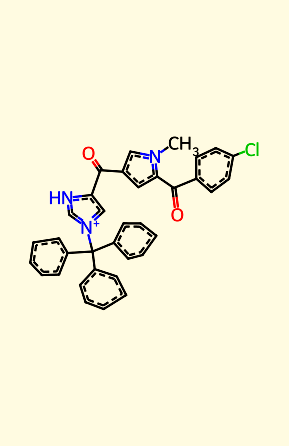 Cn1cc(C(=O)c2c[n+](C(c3ccccc3)(c3ccccc3)c3ccccc3)c[nH]2)cc1C(=O)c1ccc(Cl)cc1